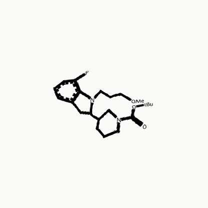 COCCCN1c2c(F)cccc2CC1C1CCCN(C(=O)OC(C)(C)C)C1